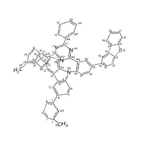 Cc1cccc(-c2ccc3c(c2)c2cc(-c4cccc(C)c4)ccc2n3-c2ccc(-c3ccc4oc5ccccc5c4c3)cc2-c2nc(-c3ccccc3)nc(-c3ccccc3)n2)c1